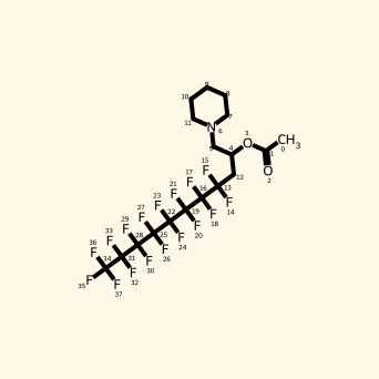 CC(=O)OC(CN1CCCCC1)CC(F)(F)C(F)(F)C(F)(F)C(F)(F)C(F)(F)C(F)(F)C(F)(F)C(F)(F)F